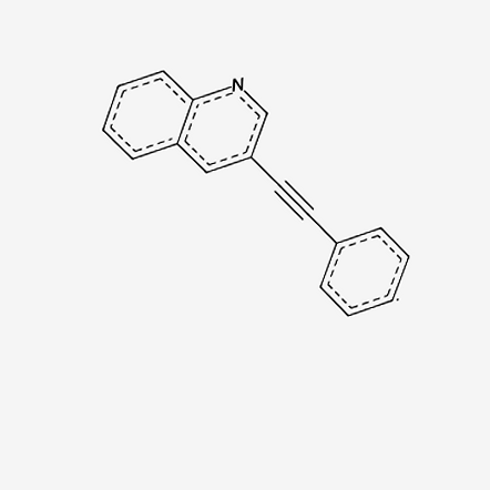 C(#Cc1cnc2ccccc2c1)c1cc[c]cc1